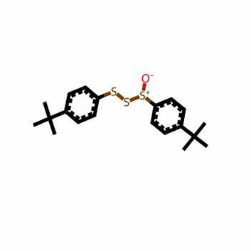 CC(C)(C)c1ccc(SS[S+]([O-])c2ccc(C(C)(C)C)cc2)cc1